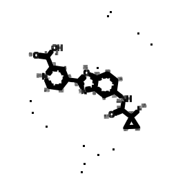 O=C(O)c1cc(-c2nc3cc(NC(=O)C4(F)CC4)ccc3o2)ccn1